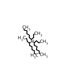 CCCCCC[CH](CCC)[Al]([CH](CCC)CCCCCC)[CH](CCC)CCCCCC